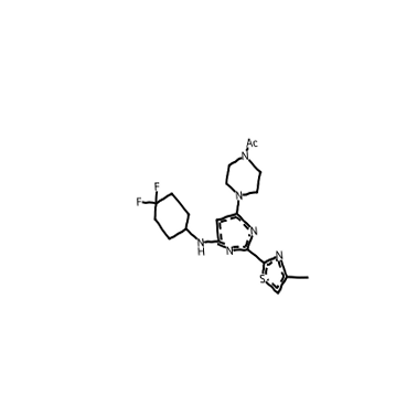 CC(=O)N1CCN(c2cc(NC3CCC(F)(F)CC3)nc(-c3nc(C)cs3)n2)CC1